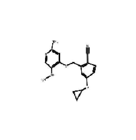 N#Cc1ccc(OC2CC2)cc1CSc1cc(N)ncc1NN